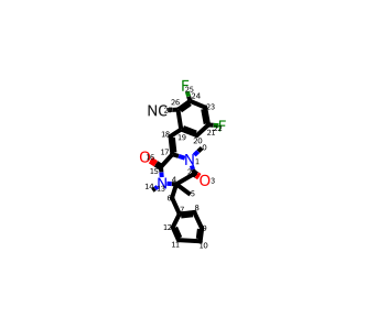 CN1C(=O)C(C)(Cc2ccccc2)N(C)C(=O)/C1=C/c1cc(F)cc(F)c1C#N